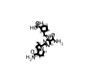 Cc1cc2c(C(N)=O)cccn2c1-c1ncc(C(N)=O)c(NCc2cccc(B(O)O)c2)n1